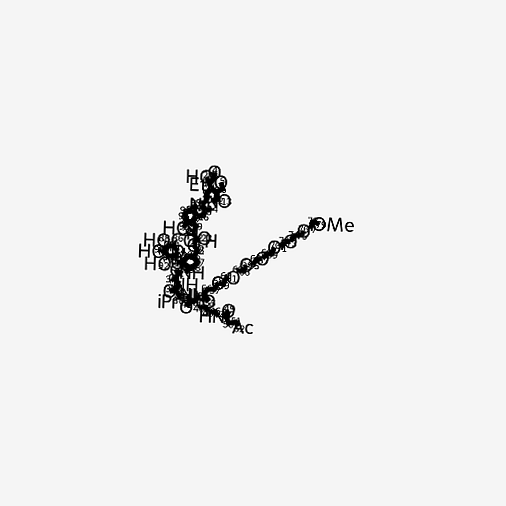 CC[C@@]1(O)C(=O)OCc2c1cc1n(c2=O)Cc2cc3c(CN(C)C(=O)OCc4ccc(NC(=O)[C@H](C)NC(=O)[C@@H](NC(=O)[C@H](CCCCNC(=O)CCC(C)=O)NC(=O)CCOCCOCCOCCOCCOCCOCCOCCOC)C(C)C)c(O[C@@H]5O[C@H](C(=O)O)[C@@H](O)[C@H](O)[C@H]5O)c4)c(O)ccc3nc2-1